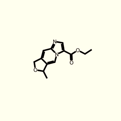 CCOC(=O)c1cnc2cc3c(cn12)C(C)OC3